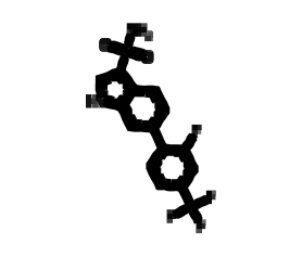 NS(=O)(=O)c1c[nH]c2cc(-c3ccc(C(F)(F)F)cc3F)ccc12